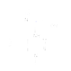 C=CC(=O)N(C)c1ccccc1NC(/N=C\C)=C(\O)C=C